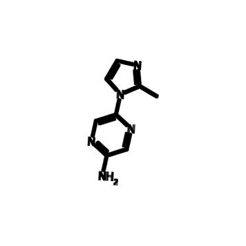 Cc1nccn1-c1cnc(N)cn1